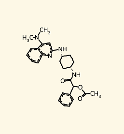 CC(=O)OC(C(=O)N[C@H]1CC[C@@H](Nc2cc(N(C)C)c3ccccc3n2)CC1)c1ccccc1